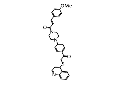 COc1ccc(C=CC(=O)N2CCN(c3ccc(C(=O)CSc4ccnc5ccccc45)cc3)CC2)cc1